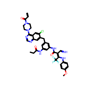 C=CC(=O)N1CCN(c2ncnc3cc(Cc4cc(NC(=O)CC)cc(NC(=O)/C(C=N)=C(/Nc5ccc(OC)cc5)C(F)(F)F)c4)c(Cl)cc23)CC1